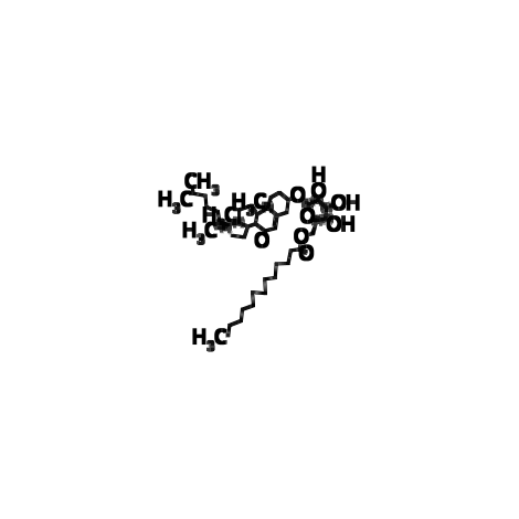 CCCCCCCCCCCCCC(=O)OC[C@H]1O[C@H](OC2CC[C@@]3(C)C(=CC(=O)C4C3CC[C@@]3(C)C4CC[C@@H]3[C@H](C)CCCC(C)C)C2)[C@H](O)[C@@H](O)[C@H]1O